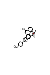 O=CC1CCC(n2cc3cc(N4C(C(F)(F)F)=CC=CC4C(=O)O)c(C(F)F)cc3n2)CC1